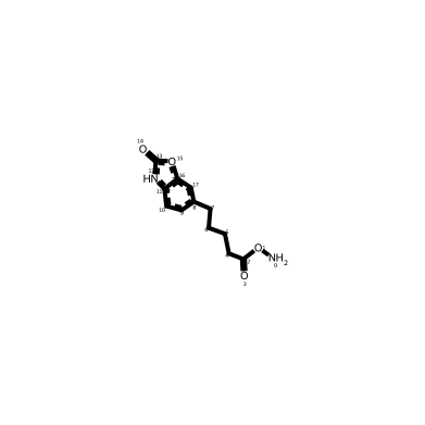 NOC(=O)CCCCc1ccc2[nH]c(=O)oc2c1